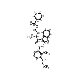 Cc1c(OCC(F)(F)F)ccnc1CSc1nc2ccccc2n1C(=O)N(C)CCOC(=O)c1ccccc1